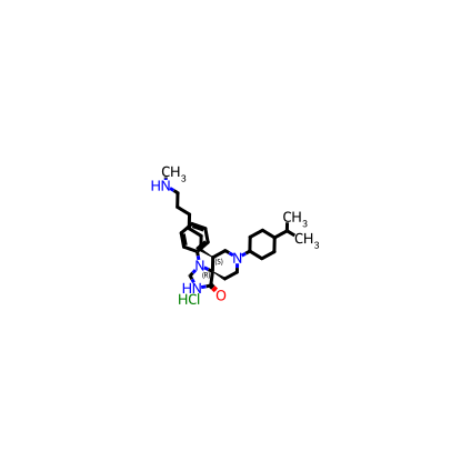 CNCCCCCC[C@H]1CN(C2CCC(C(C)C)CC2)CC[C@]12C(=O)NCN2c1ccccc1.Cl